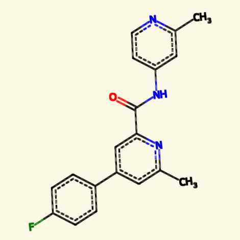 Cc1cc(NC(=O)c2cc(-c3ccc(F)cc3)cc(C)n2)ccn1